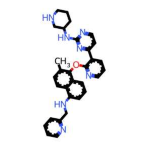 Cc1ccc2c(NCc3ccccn3)cccc2c1Oc1ncccc1-c1ccnc(NC2CCCNC2)n1